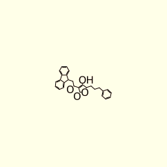 O=C(CC1c2ccccc2-c2ccccc21)C1=C(O)C(CCCc2ccccc2)OC1=O